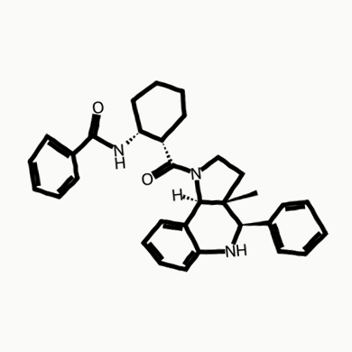 C[C@]12CCN(C(=O)[C@H]3CCCC[C@H]3NC(=O)c3ccccc3)[C@@H]1c1ccccc1N[C@@H]2c1ccccc1